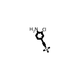 C[Si](C)(C)C#Cc1ccc(N)c(Cl)c1